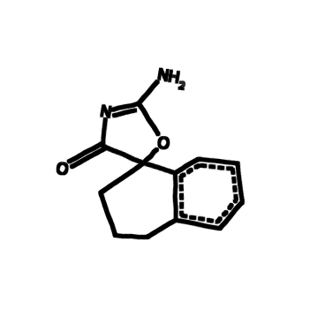 NC1=NC(=O)C2(CCCc3ccccc32)O1